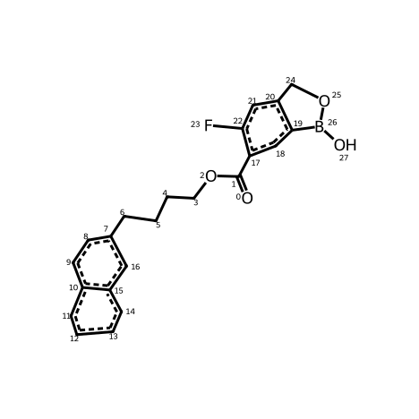 O=C(OCCCCc1ccc2ccccc2c1)c1cc2c(cc1F)COB2O